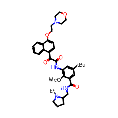 CCN1CCCC1CNC(=O)c1cc(C(C)(C)C)cc(NC(=O)C(=O)c2ccc(OCCN3CCOCC3)c3ccccc23)c1OC